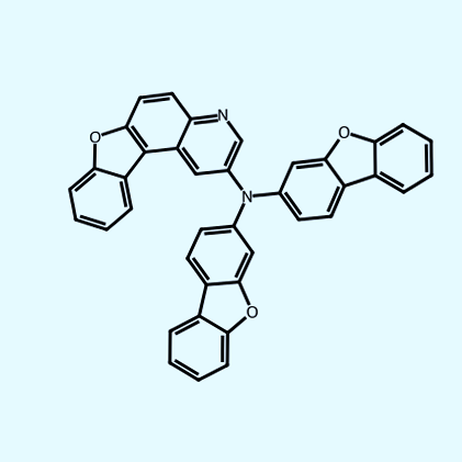 c1ccc2c(c1)oc1cc(N(c3ccc4c(c3)oc3ccccc34)c3cnc4ccc5oc6ccccc6c5c4c3)ccc12